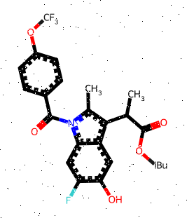 CCC(C)OC(=O)C(C)c1c(C)n(C(=O)c2ccc(OC(F)(F)F)cc2)c2cc(F)c(O)cc12